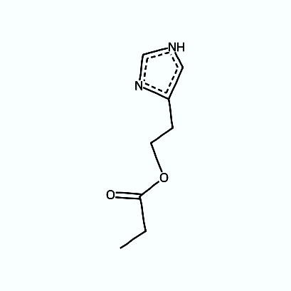 CCC(=O)OCCc1c[nH]cn1